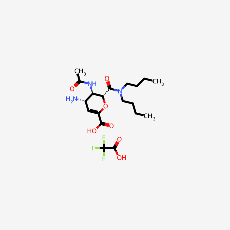 CCCCN(CCCC)C(=O)[C@@H]1OC(C(=O)O)=C[C@H](N)[C@H]1NC(C)=O.O=C(O)C(F)(F)F